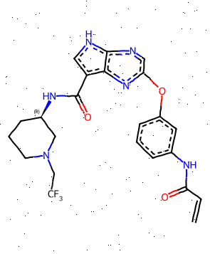 C=CC(=O)Nc1cccc(Oc2cnc3[nH]cc(C(=O)N[C@@H]4CCCN(CC(F)(F)F)C4)c3n2)c1